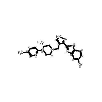 C[C@@H]1CN(Cc2c[nH]nc2-c2nc3cc(C#N)ccc3[nH]2)CCN1c1ccc(C(F)(F)F)cn1